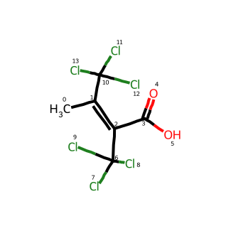 CC(=C(C(=O)O)C(Cl)(Cl)Cl)C(Cl)(Cl)Cl